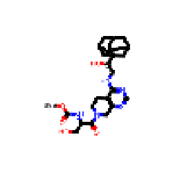 CC(C)(C)OC(=O)NC(CO)C(=O)N1CCc2c(ncnc2NC[C@@H](O)C23CC4CC(CC(C4)C2)C3)C1